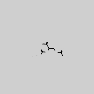 CCCCCCCC(=O)OCC(OC(=O)CCCCCCC)C(N)=O